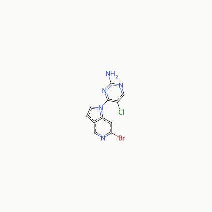 Nc1ncc(Cl)c(-n2ccc3cnc(Br)cc32)n1